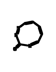 O=C1N=CC=CC=CN=N1